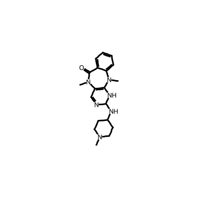 CN1CCC(NC2N=CC3=C(N2)N(C)c2ccccc2C(=O)N3C)CC1